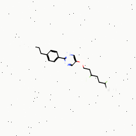 CCCCCCCCCCCCc1ccc(-c2ncc(OCCC(F)CCC(F)CCCC)cn2)cc1